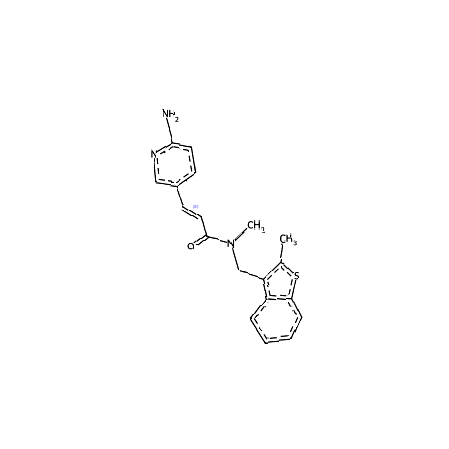 Cc1sc2ccccc2c1CN(C)C(=O)/C=C/c1ccc(N)nc1